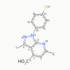 Cc1cc(C(=O)O)c2c(C)nn(-c3ccc(F)cc3)c2n1